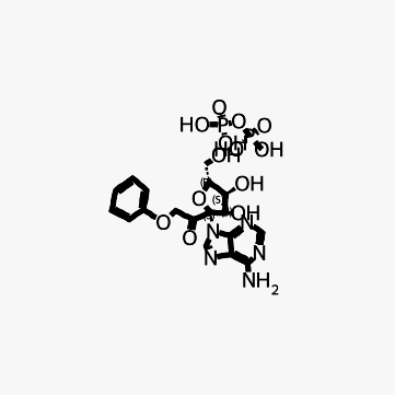 Nc1ncnc2c1ncn2[C@]1(C(=O)COc2ccccc2)O[C@H](CO)[C@@H](O)[C@H]1O.O=P(O)(O)OP(=O)(O)O